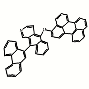 c1ccc2c(c1)cc(-c1c3ccccc3c(Oc3ccc4c5cccc6cccc(c7cccc3c74)c65)c3ccncc13)c1ccccc12